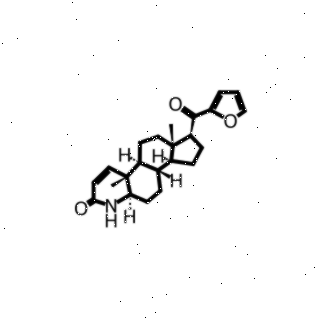 C[C@]12C=CC(=O)N[C@@H]1CC[C@@H]1[C@@H]2CC[C@]2(C)[C@@H](C(=O)c3ccco3)CC[C@@H]12